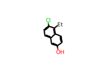 [CH2]Cc1c(Cl)ccc2cc(O)ccc12